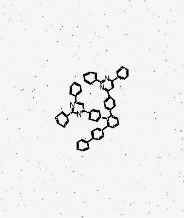 c1ccc(-c2ccc(-c3cccc(-c4ccc(-c5cc(-c6ccccc6)nc(-c6ccccc6)n5)cc4)c3-c3ccc(-c4cc(-c5ccccc5)nc(-c5ccccc5)n4)cc3)cc2)cc1